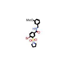 COc1cccc(CNC(=O)c2ccc(Br)c(S(=O)(=O)N3CCCC3)c2)c1